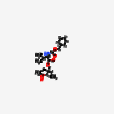 CCC(CC)(CO)COC(=O)[C@@H](NC(=O)OCc1ccccc1)C(C)C